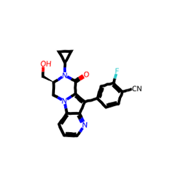 N#Cc1ccc(-c2c3n(c4cccnc24)C[C@@H](CO)N(C2CC2)C3=O)cc1F